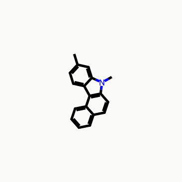 Cc1ccc2c3c4ccccc4ccc3n(C)c2c1